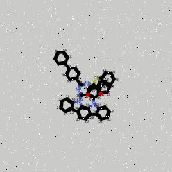 c1ccc(-c2ccc(-c3nc(-c4ccccc4)cc(-n4c5ccccc5c5ccc6c7ccccc7n(-c7ccc8sc9ccccc9c8c7)c6c54)n3)cc2)cc1